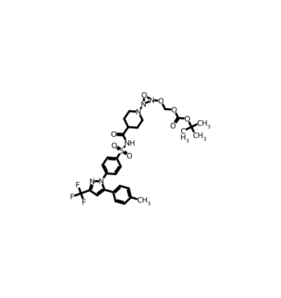 Cc1ccc(-c2cc(C(F)(F)F)nn2-c2ccc(S(=O)(=O)NC(=O)C3CCN(n4on4OCOC(=O)OC(C)(C)C)CC3)cc2)cc1